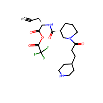 C#CC[C@H](NC(=O)[C@@H]1CCCN(C(=O)CCC2CCNCC2)C1)C(=O)OC(=O)C(F)(F)F